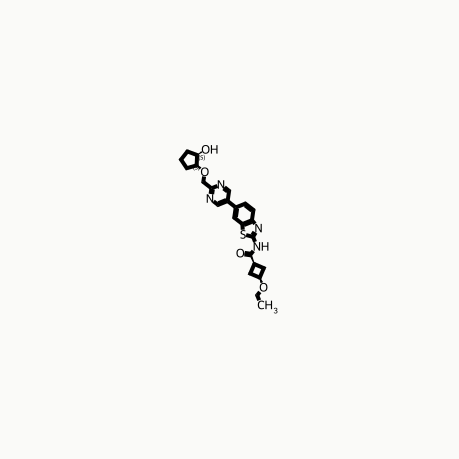 CCO[C@H]1C[C@@H](C(=O)Nc2nc3ccc(-c4cnc(CO[C@H]5CCC[C@@H]5O)nc4)cc3s2)C1